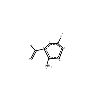 C=C(C)c1cc(F)ccc1N